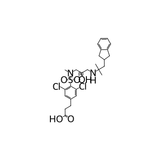 CN(C[C@H](O)CNC(C)(C)CC1Cc2ccccc2C1)S(=O)(=O)c1c(Cl)cc(CCC(=O)O)cc1Cl